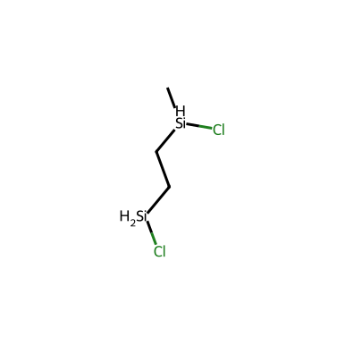 C[SiH](Cl)CC[SiH2]Cl